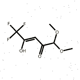 COC(OC)C(=O)C=C(O)C(F)(F)F